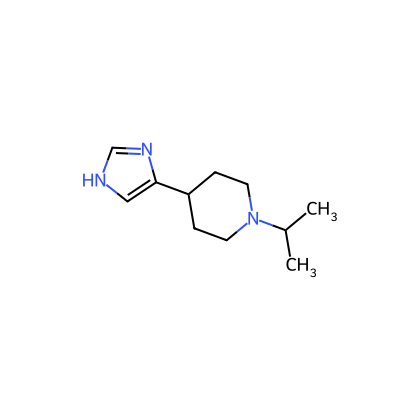 CC(C)N1CCC(c2c[nH]cn2)CC1